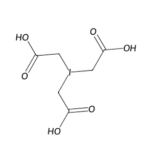 O=C(O)CI(CC(=O)O)CC(=O)O